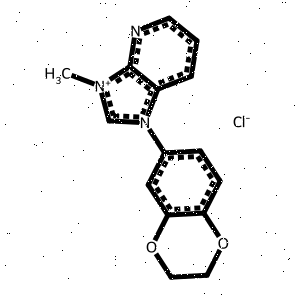 C[n+]1cn(-c2ccc3c(c2)OCCO3)c2cccnc21.[Cl-]